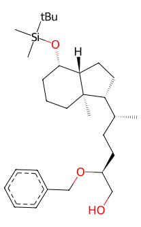 C[C@H](CC[C@@H](CO)OCc1ccccc1)[C@H]1CC[C@H]2[C@@H](O[Si](C)(C)C(C)(C)C)CCC[C@]12C